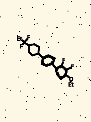 CCOc1ccc(-c2ccc(C3CCC(C(F)(F)CC)CC3)cc2)c(F)c1F